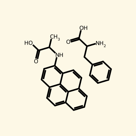 CC(Nc1ccc2ccc3cccc4ccc1c2c34)C(=O)O.NC(Cc1ccccc1)C(=O)O